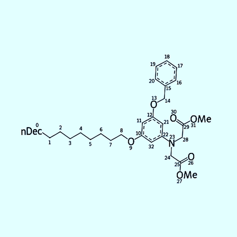 CCCCCCCCCCCCCCCCCCOc1cc(OCc2ccccc2)cc(N(CC(=O)OC)CC(=O)OC)c1